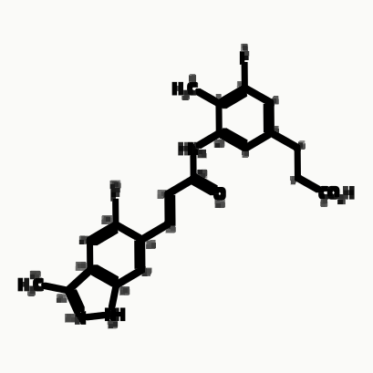 Cc1c(F)cc(CCC(=O)O)cc1NC(=O)/C=C/c1cc2[nH]nc(C)c2cc1F